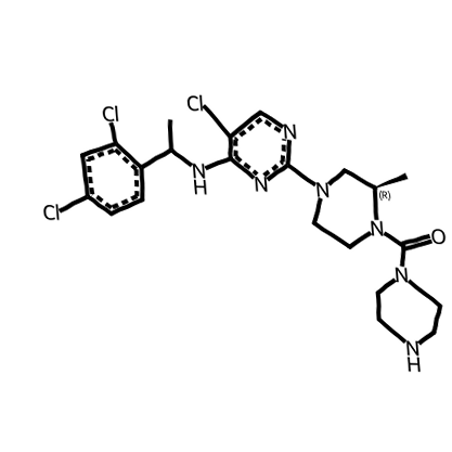 CC(Nc1nc(N2CCN(C(=O)N3CCNCC3)[C@H](C)C2)ncc1Cl)c1ccc(Cl)cc1Cl